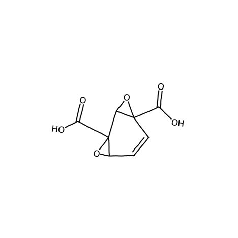 O=C(O)C12C=CC3OC3(C(=O)O)C1O2